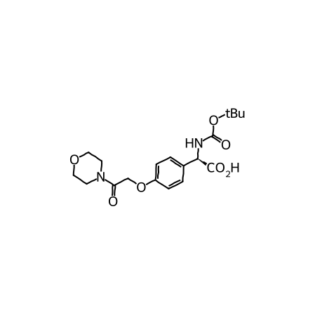 CC(C)(C)OC(=O)N[C@@H](C(=O)O)c1ccc(OCC(=O)N2CCOCC2)cc1